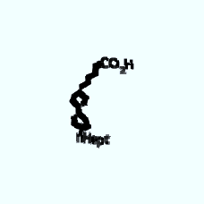 CCCCCCC[C@H]1CC[C@H]([C@H]2CC[C@H](CCCCCC(=O)O)CC2)CC1